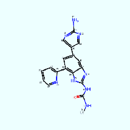 CCNC(=O)Nc1nc2cc(-c3cnc(N)nc3)cc(-c3ccccn3)c2[nH]1